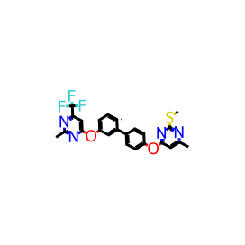 CSc1nc(C)cc(Oc2ccc(-c3[c]ccc(Oc4cc(C(F)(F)F)nc(C)n4)c3)cc2)n1